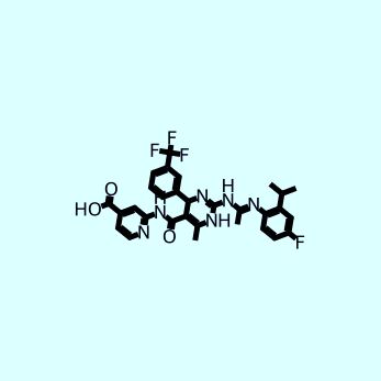 CC1=C(C(=O)Nc2cc(C(=O)O)ccn2)C(c2cccc(C(F)(F)F)c2)N=C(N/C(C)=N/c2ccc(F)cc2C(C)C)N1